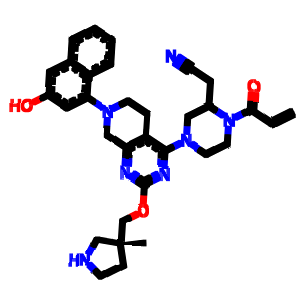 C=CC(=O)N1CCN(c2nc(OC[C@]3(C)CCNC3)nc3c2CCN(c2cc(O)cc4ccccc24)C3)CC1CC#N